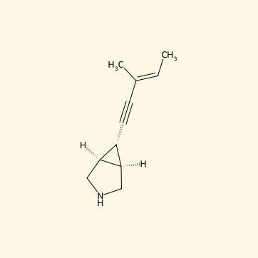 C/C=C(\C)C#C[C@@H]1[C@H]2CNC[C@@H]12